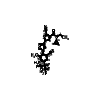 CCN(C(=O)c1cc(-c2cn(-c3c(C)cc(C(F)(C(F)(F)F)C(F)(P)P)cc3C#N)nn2)sc1C#N)C1CC1